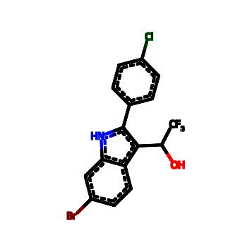 OC(c1c(-c2ccc(Cl)cc2)[nH]c2cc(Br)ccc12)C(F)(F)F